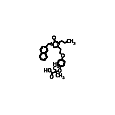 CCCN1C(=O)N(Cc2ccc3ccccc3c2)CC1CCOc1ccc(OC(C)(C)C(=O)O)cc1